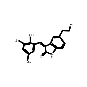 CC(C)(C)c1cc(C=C2C(=O)Nc3ccc(CCCl)cc32)c(O)c(C(C)(C)C)c1